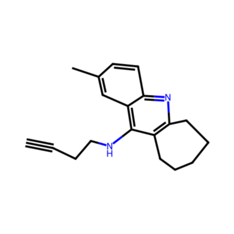 C#CCCNc1c2c(nc3ccc(C)cc13)CCCCC2